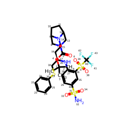 CC(C)(C)OC(=O)N1CC2CCC(C1)N2CC[C@H](CSc1ccccc1)Nc1ccc(S(N)(=O)=O)cc1S(=O)(=O)C(F)(F)F